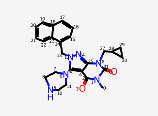 Cn1c(=O)c2c(N3CCNCC3)n(Cc3cccc4ccccc34)nc2n(CC2CC2)c1=O